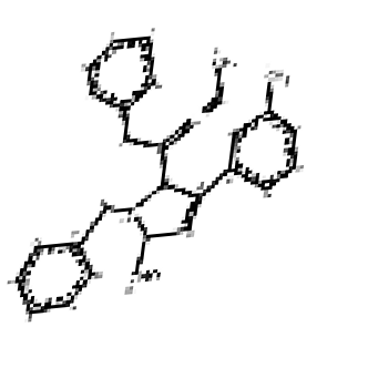 CC=C=C(Cc1ccccc1)C1C(c2cccc(C)c2)=CC(C=O)N1Cc1ccccc1